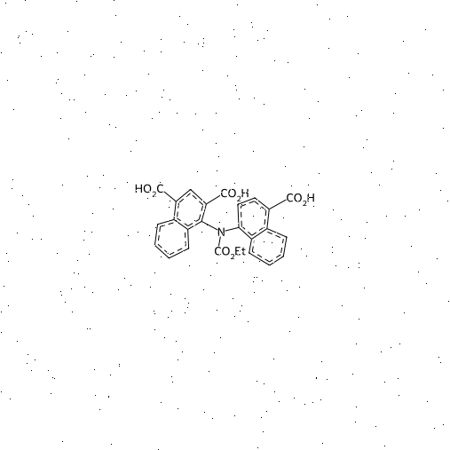 CCOC(=O)N(c1ccc(C(=O)O)c2ccccc12)c1c(C(=O)O)cc(C(=O)O)c2ccccc12